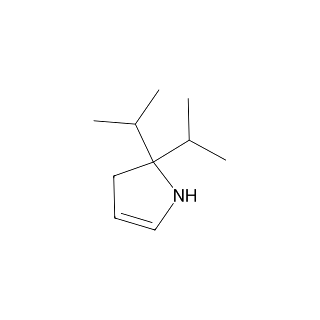 CC(C)C1(C(C)C)CC=CN1